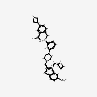 O=C(O)c1ccc2nc(CN3CCC(c4cccc(OCc5ccc(C6COC6)cc5C(F)F)n4)CC3)n(C[C@@H]3CCO3)c2c1